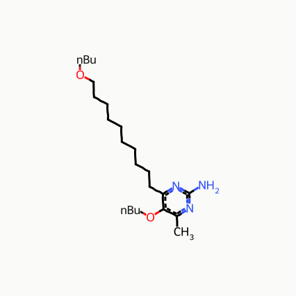 CCCCOCCCCCCCCCCc1nc(N)nc(C)c1OCCCC